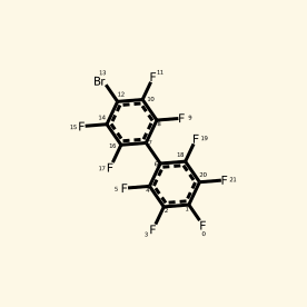 Fc1c(F)c(F)c(-c2c(F)c(F)c(Br)c(F)c2F)c(F)c1F